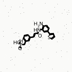 Nc1ccc(-c2cccs2)cc1NC(=O)/C=C/c1cccc(C[PH](=O)O)c1